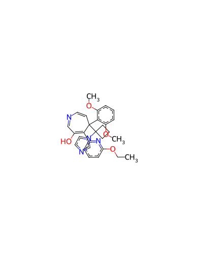 CCOc1cccc(C2=C(O)C=NC=CC2(c2c(OC)cccc2OC)C2(n3ccnc3)CCC2)n1